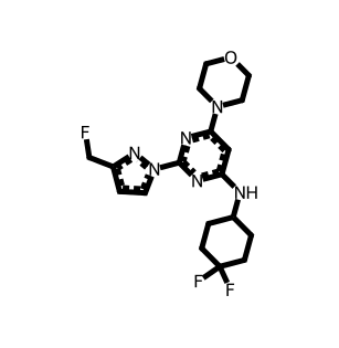 FCc1ccn(-c2nc(NC3CCC(F)(F)CC3)cc(N3CCOCC3)n2)n1